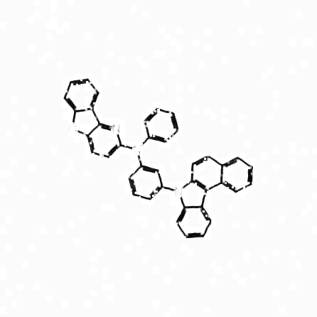 c1ccc(N(c2cccc(-n3c4ccccc4c4c5ccccc5ccc43)c2)c2ccc3oc4ccccc4c3n2)cc1